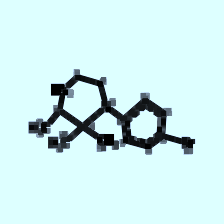 CC1NCCN(c2ccc(Br)cc2)C1(C)C